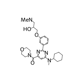 CNCC(O)COc1cccc(-c2nc(C(=O)N3CCOCC3)cc(N(C)C3CCCCC3)n2)c1